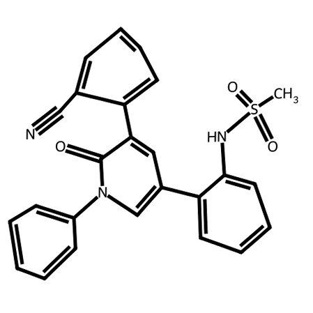 CS(=O)(=O)Nc1ccccc1-c1cc(-c2ccccc2C#N)c(=O)n(-c2ccccc2)c1